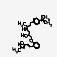 Cc1cc(C=Cc2ccccc2OCC(O)CNC(C)CCc2ccc(N(C)C)cc2)on1